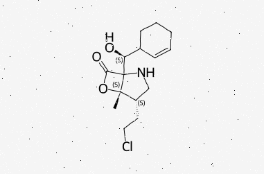 C[C@@]12OC(=O)C1([C@@H](O)C1C=CCCC1)NC[C@@H]2CCCl